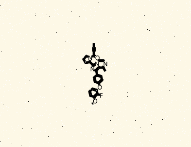 CC#CC(=O)N1CCCC1c1nc(-c2ccc(Oc3cccc(OC)c3F)cc2)c2c(C)nccn12